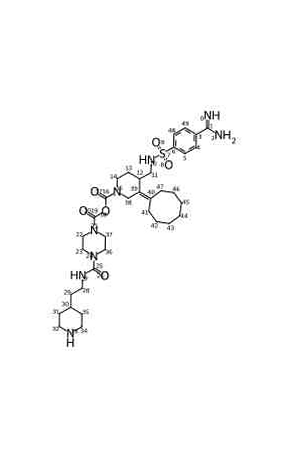 N=C(N)c1ccc(S(=O)(=O)NCC2CCN(C(=O)OC(=O)N3CCN(C(=O)NCCC4CCNCC4)CC3)CC2=C2CCCCCCC2)cc1